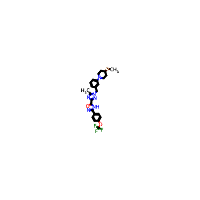 CSC1CCN(c2cccc(Cn3nc(C4NC(c5ccc(OC(F)(F)F)cc5)=NO4)nc3C)c2)CC1